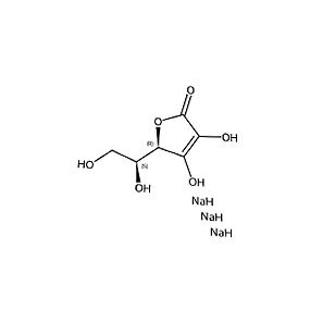 O=C1O[C@H]([C@@H](O)CO)C(O)=C1O.[NaH].[NaH].[NaH]